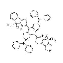 CC1(C)C2=C(CCC(c3c4c(c(-c5ccc6c(c5)C(C)(C)c5ccccc5-6)c5ccc(N(c6ccccc6)c6ccccc6)cc35)=CC(N(c3ccccc3)c3ccccc3)CC=4)=C2)c2ccccc21